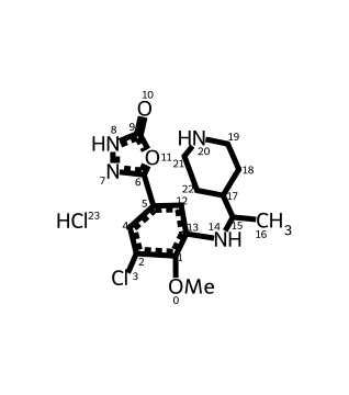 COc1c(Cl)cc(-c2n[nH]c(=O)o2)cc1NC(C)C1CCNCC1.Cl